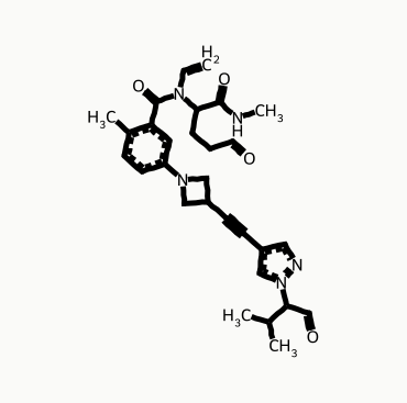 C=CN(C(=O)c1cc(N2CC(C#Cc3cnn(C(C=O)C(C)C)c3)C2)ccc1C)C(CCC=O)C(=O)NC